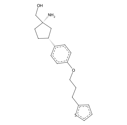 N[C@@]1(CO)CC[C@@H](c2ccc(OCCCc3cccs3)cc2)C1